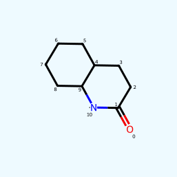 O=C1CCC2CCCCC2[N]1